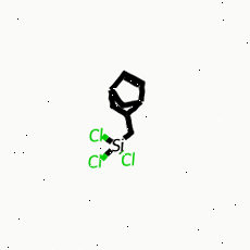 Cl[Si](Cl)(Cl)CC1CC2C=CC1C2